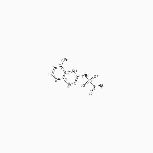 CCN(CC)S(=O)(=O)NC(=O)Nc1c(C(C)C)cccc1C(C)C